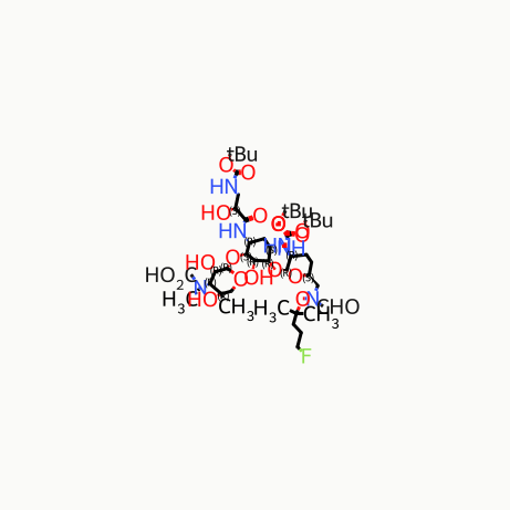 CN(C(=O)O)[C@@H]1[C@@H](O)[C@@H](O[C@@H]2[C@H](O)[C@H](O[C@H]3O[C@H](CN(C=O)OC(C)(C)CCCF)CC[C@H]3NC(=O)OC(C)(C)C)[C@@H](NC(=O)OC(C)(C)C)C[C@H]2NC(=O)[C@@H](O)CNC(=O)OC(C)(C)C)OC[C@]1(C)O